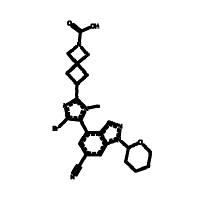 Cn1c(C2CC3(C2)CN(C(=O)O)C3)nc(Br)c1-c1cc(C#N)cc2c1cnn2C1CCCCO1